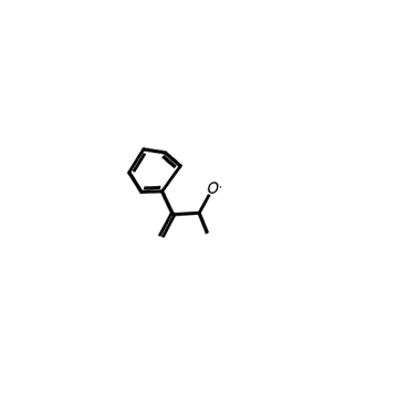 C=C(c1ccccc1)C(C)[O]